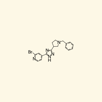 Brc1cc(-c2nc(C3CCN(Cc4ccccc4)C3)n[nH]2)ccn1